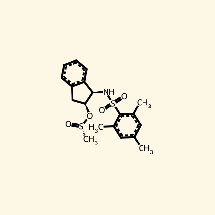 Cc1cc(C)c(S(=O)(=O)N[C@@H]2c3ccccc3C[C@@H]2O[S@](C)=O)c(C)c1